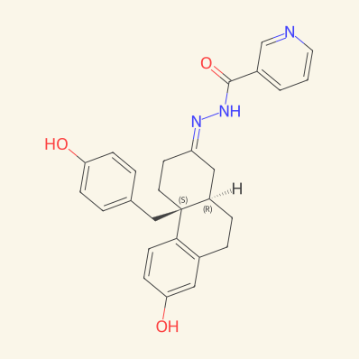 O=C(NN=C1CC[C@@]2(Cc3ccc(O)cc3)c3ccc(O)cc3CC[C@@H]2C1)c1cccnc1